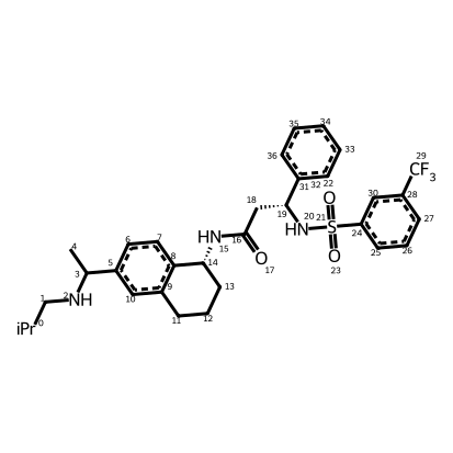 CC(C)CNC(C)c1ccc2c(c1)CCC[C@H]2NC(=O)C[C@@H](NS(=O)(=O)c1cccc(C(F)(F)F)c1)c1ccccc1